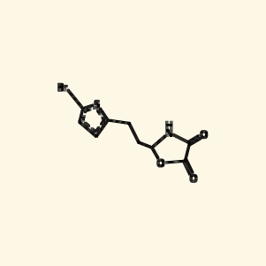 O=C1NC(CCc2ccc(Br)s2)OC1=O